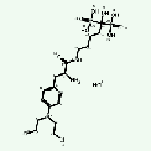 Cl.N[C@@H](Cc1ccc(N(CCCl)CCCl)cc1)C(=O)NCCCCC(O)(P(=O)(O)O)P(=O)(O)O